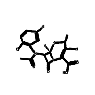 CC(=S)N(c1cc(Cl)ccc1Cl)C1C(=O)N2C(C(=O)O)=C(Cl)C(C)S[C@H]12